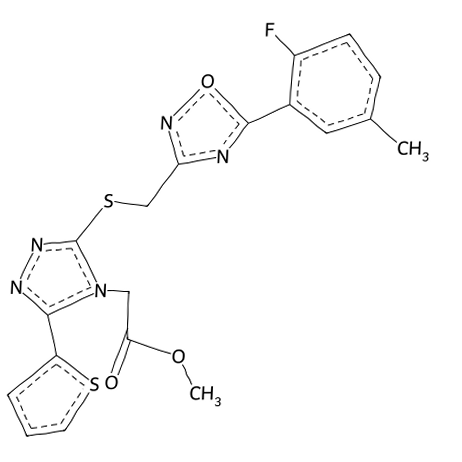 COC(=O)Cn1c(SCc2noc(-c3cc(C)ccc3F)n2)nnc1-c1cccs1